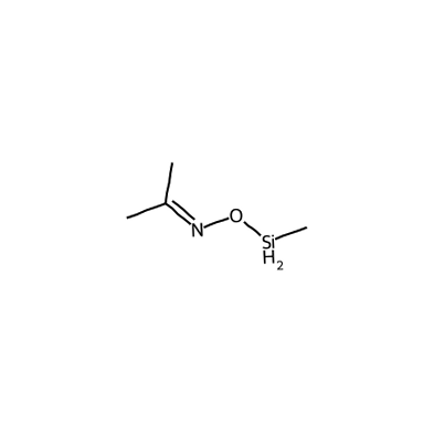 C[SiH2]ON=C(C)C